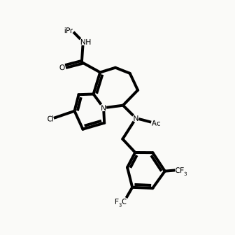 CC(=O)N(Cc1cc(C(F)(F)F)cc(C(F)(F)F)c1)C1CCCC(C(=O)NC(C)C)=C2C=C(Cl)C=CN21